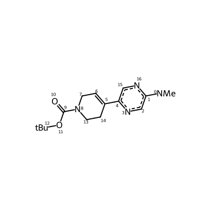 CNc1cnc(C2=CCN(C(=O)OC(C)(C)C)CC2)cn1